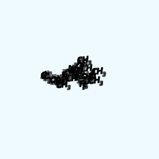 CCP(=O)(CC)c1ccc(-n2ccn(-c3c4c(nn3-c3cc(C)c(F)c(C)c3)CCN(C(=O)c3cc5cc(C6CCOCC6)ccc5n3C)[C@H]4C)c2=O)cc1OC(F)F